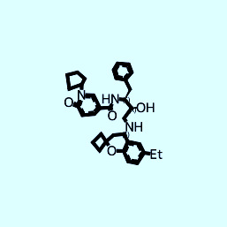 CCc1ccc2c(c1)[C@@H](NC[C@@H](O)[C@H](Cc1ccccc1)NC(=O)c1ccc(=O)n(C3CCCC3)c1)CC1(CCC1)O2